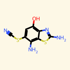 N#CSc1cc(O)c2nc(N)sc2c1N